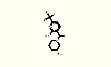 Cc1nc(C(F)(F)F)ccc1C(=O)N1CCC[C@@H](O)C1